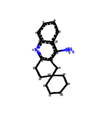 Nc1c2c(nc3ccccc13)CCC1(CCCCC1)C2